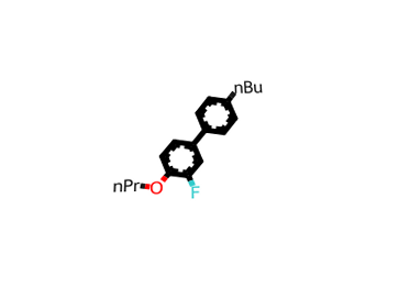 CCCCc1ccc(-c2ccc(OCCC)c(F)c2)cc1